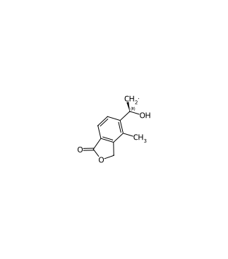 [CH2][C@@H](O)c1ccc2c(c1C)COC2=O